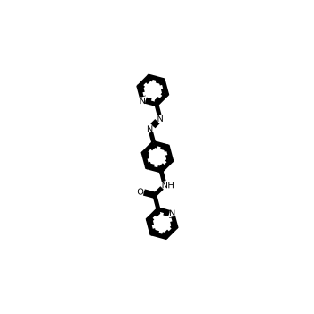 O=C(Nc1ccc(N=Nc2ccccn2)cc1)c1ccccn1